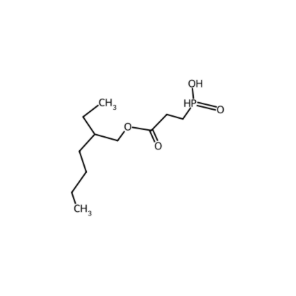 CCCCC(CC)COC(=O)CC[PH](=O)O